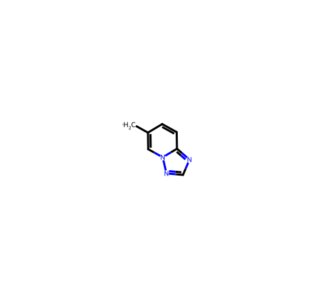 [CH2]c1ccc2ncnn2c1